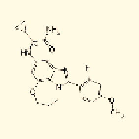 COc1ccc(-c2nc3cc(N[C@H](C(N)=O)C4CC4)cc4c3n2CCCO4)c(F)c1